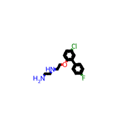 NCCNCCOc1ccc(Cl)cc1-c1ccc(F)cc1